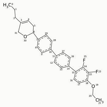 CCCC1=CCC(c2ccc(-c3ccc(-c4ccc(OCC)c(F)c4F)cc3)cc2)OC1